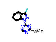 CNc1ncnc(-n2nc(F)c3ccccc32)n1